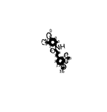 COc1ccc(NC(=O)/C=C/c2ccc(OC)c(OC(C)=O)c2)cc1Cl